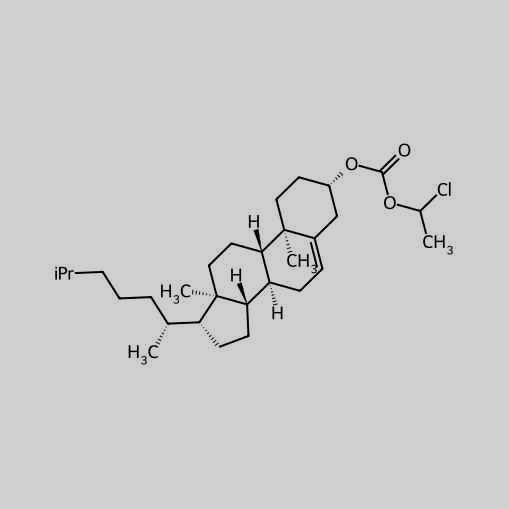 CC(C)CCC[C@@H](C)[C@H]1CC[C@H]2[C@@H]3CC=C4C[C@@H](OC(=O)OC(C)Cl)CC[C@]4(C)[C@H]3CC[C@]12C